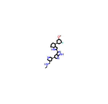 CCNCc1cncc(-c2cnc3[nH]nc(-c4cc5c(-c6cc(F)cc(OC)c6)cccc5[nH]4)c3c2)c1